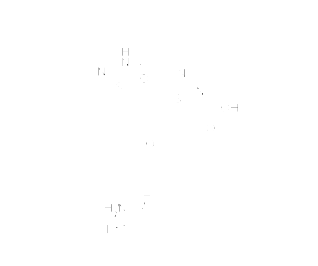 NC1[C@@H]2CCC[C@H]1[C@@H](c1ccc(OCCCc3sc(N4CCc5cccc(C(=O)Nc6nc7ccccc7s6)c5C4)nc3C(=O)O)cc1)CC2